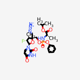 CC(C)OC(=O)[C@H](C)NP(=O)(OC[C@@]1(CN=[N+]=[N-])O[C@@H](n2ccc(=O)[nH]c2=O)[C@H](F)[C@@H]1C)Oc1ccccc1